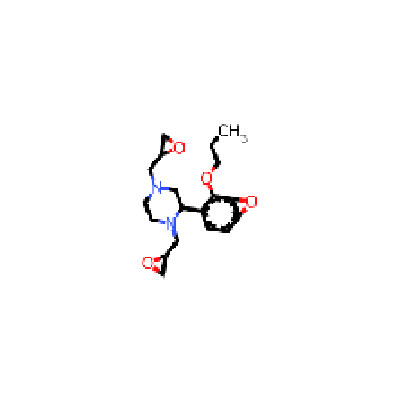 CCCOc1c(C2CN(CC3CO3)CCN2CC2CO2)ccc2c1O2